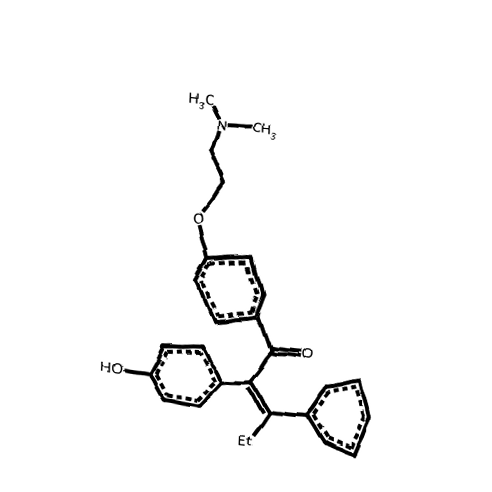 CCC(=C(C(=O)c1ccc(OCCN(C)C)cc1)c1ccc(O)cc1)c1ccccc1